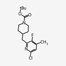 Cc1cc(Cl)nc(CC2CCN(C(=O)OC(C)(C)C)CC2)c1F